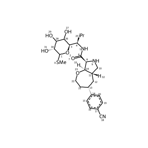 CSC1O[C@H]([C@H](NC(=O)[C@H]2NC[C@@H]3C[C@H](c4ccc(C#N)cc4)CCO[C@H]32)C(C)C)C(O)C(O)[C@H]1O